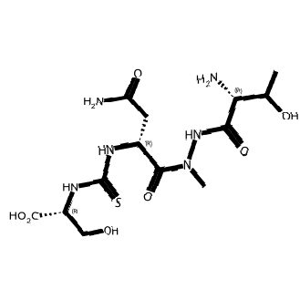 CC(O)[C@@H](N)C(=O)NN(C)C(=O)[C@@H](CC(N)=O)NC(=S)N[C@H](CO)C(=O)O